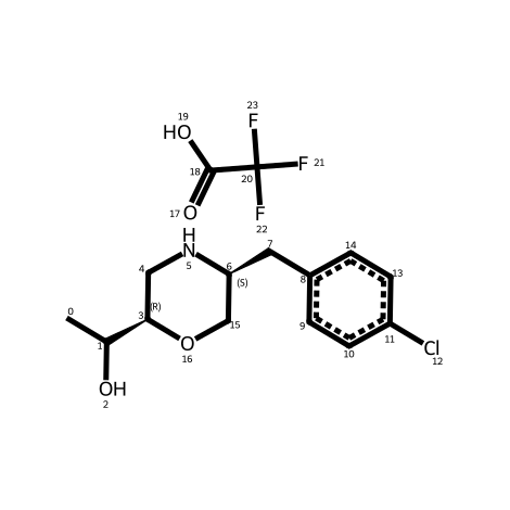 CC(O)[C@H]1CN[C@@H](Cc2ccc(Cl)cc2)CO1.O=C(O)C(F)(F)F